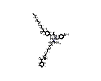 C=C(/N=C(\N=C(/N)NCCOCCOCCNC(=O)c1ccccc1)Nc1ccc(O)cc1)Nc1ccc(C(=O)NCCOCCOCCC)cc1